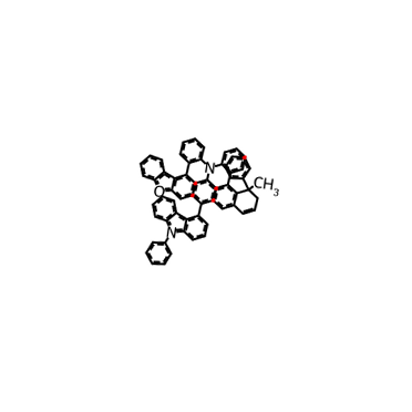 CC1(c2ccccc2)CC=Cc2cccc(-c3ccccc3N(c3ccc(-c4cccc5c4c4ccccc4n5-c4ccccc4)cc3)c3ccccc3-c3cccc4oc5ccccc5c34)c21